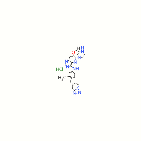 Cc1cc(Nc2ncnc3cc4c(nc23)N2CCN[C@H](CO4)C2)ccc1Cc1ccn2ncnc2c1.Cl